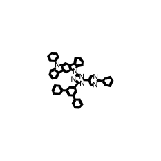 c1ccc(-c2cc(-c3ccccc3)cc(-c3nc(-c4cnc(-c5ccccc5)nc4)nc(-n4c5ccccc5c5cc6c(cc54)c4ccccc4n6-c4ccccc4)n3)c2)cc1